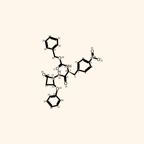 O=C(N[C@@H](Cc1ccc([N+](=O)[O-])cc1)C(=O)NN1C(=O)CC1Oc1ccccc1)OCc1ccccc1